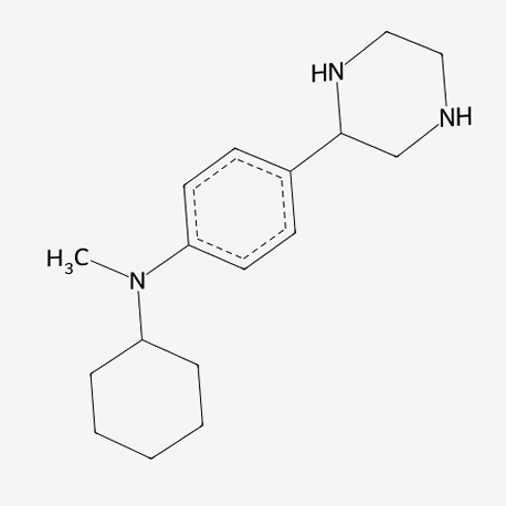 CN(c1ccc(C2CNCCN2)cc1)C1CCCCC1